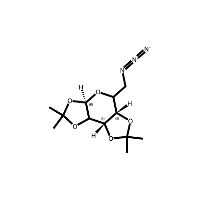 CC1(C)OC2[C@H](OC(CN=[N+]=[N-])[C@@H]3OC(C)(C)O[C@H]23)O1